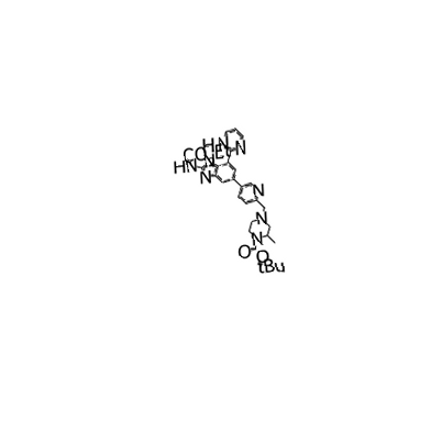 CCOC(=O)Nc1nc2cc(-c3ccc(CN4CCN(C(=O)OC(C)(C)C)C(C)C4)nc3)cc(-c3ncccn3)c2[nH]1